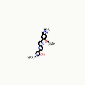 COCOc1cc2nn(C)cc2cc1-c1ccc2nc(C3CCN(C(=O)O)C[C@H]3O)ccc2n1